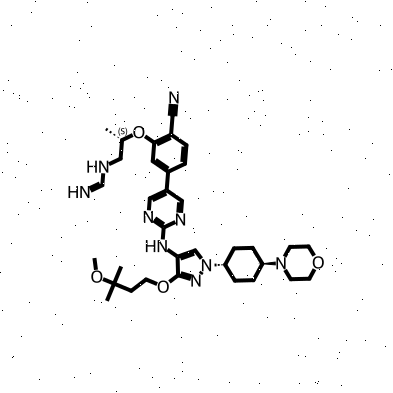 COC(C)(C)CCOc1nn([C@H]2CC[C@H](N3CCOCC3)CC2)cc1Nc1ncc(-c2ccc(C#N)c(O[C@@H](C)CNC=N)c2)cn1